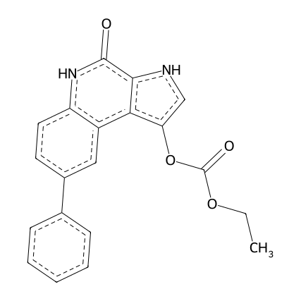 CCOC(=O)Oc1c[nH]c2c(=O)[nH]c3ccc(-c4ccccc4)cc3c12